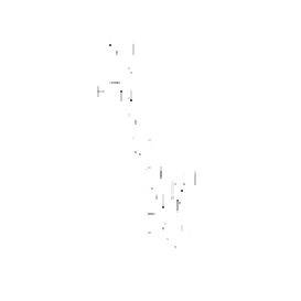 Cn1c2cc(-c3ccc(N4CCN(c5ccc(N)cc5F)CC4)cc3)ccc2n2c3cccc(N)c3c(=O)nc12